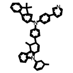 CC1C=CC=C(n2c3c(c4ccccc42)C(C)C(c2ccc(N(c4ccc(-c5cccnc5)cc4)c4ccc5c(c4)C(C)(C)c4ccccc4-5)cc2)C=C3)C1